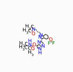 CC(=O)N(C)CCCn1nc(-c2cnc3[nH]cc(OC(=O)NC(C)(C)C)c3n2)c2cc(OC(F)F)ccc21